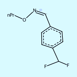 CCCO/N=[C]\c1ccc(C(F)F)cc1